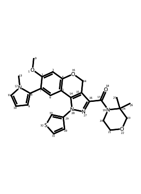 COc1cc2c(cc1-c1cccn1C)-c1c(c(C(=O)N3CCOCC3(C)C)nn1-c1ccsc1)CO2